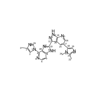 Cc1cn(-c2nccc3[nH]c(-c4n[nH]c5ncc(-c6cnc(C)n6C)cc45)nc23)cn1